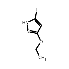 CCOc1cc(I)[nH]n1